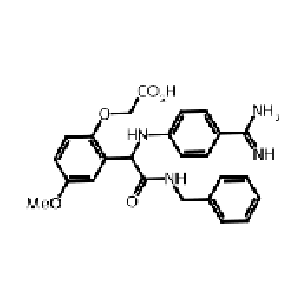 COc1ccc(OCC(=O)O)c(C(Nc2ccc(C(=N)N)cc2)C(=O)NCc2ccccc2)c1